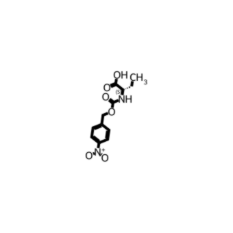 CC[C@H](NC(=O)OCc1ccc([N+](=O)[O-])cc1)C(=O)O